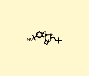 CC(C)(C)CCC(=O)Nc1nc2ccc(C(C)(C)O)cc2n1C1CCC1